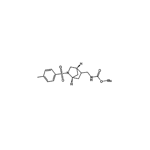 Cc1ccc(S(=O)(=O)N2C[C@H]3C[C@@H]2CC3CNC(=O)OC(C)(C)C)cc1